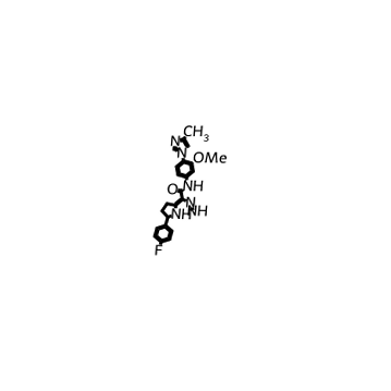 COc1cc(NC(=O)/C(N=N)=C2\CCC(c3ccc(F)cc3)N2)ccc1-n1cnc(C)c1